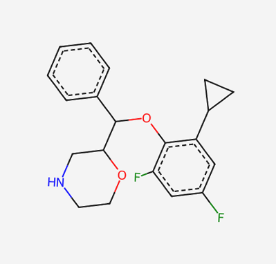 Fc1cc(F)c(OC(c2ccccc2)C2CNCCO2)c(C2CC2)c1